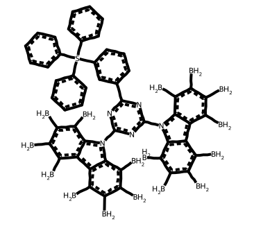 Bc1c(B)c(B)c2c(c1B)c1c(B)c(B)c(B)c(B)c1n2-c1nc(-c2cccc(S(c3ccccc3)(c3ccccc3)c3ccccc3)c2)nc(-n2c3c(B)c(B)c(B)c(B)c3c3c(B)c(B)c(B)c(B)c32)n1